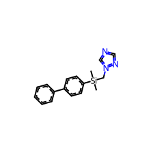 C[Si](C)(Cn1cncn1)c1ccc(-c2ccccc2)cc1